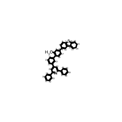 Cc1cc(-c2ccc3sc4c(c3c2)=CCCC=4)ccc1-c1cccc(-c2cc(-c3ccccc3)nc(-c3ccccc3)c2)c1